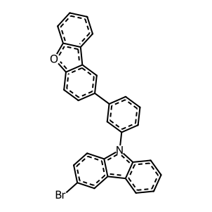 Brc1ccc2c(c1)c1ccccc1n2-c1cccc(-c2ccc3oc4ccccc4c3c2)c1